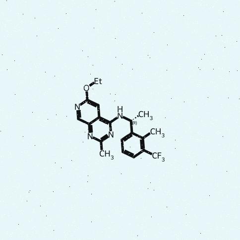 CCOc1cc2c(N[C@H](C)c3cccc(C(F)(F)F)c3C)nc(C)nc2cn1